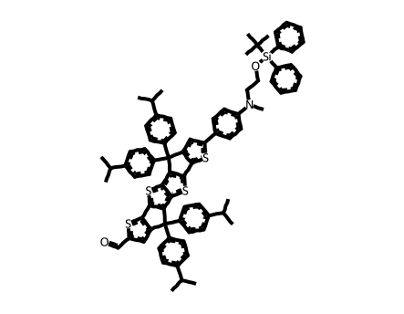 CC(C)c1ccc(C2(c3ccc(C(C)C)cc3)c3cc(C=O)sc3-c3sc4c5c(sc4c32)-c2sc(-c3ccc(N(C)CCO[Si](c4ccccc4)(c4ccccc4)C(C)(C)C)cc3)cc2C5(c2ccc(C(C)C)cc2)c2ccc(C(C)C)cc2)cc1